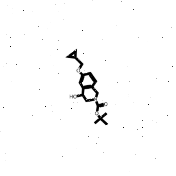 CC(C)(C)OC(=O)N1Cc2ccc(OCC3CC3)cc2C(O)C1